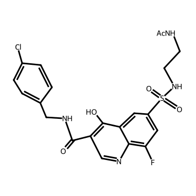 CC(=O)NCCNS(=O)(=O)c1cc(F)c2ncc(C(=O)NCc3ccc(Cl)cc3)c(O)c2c1